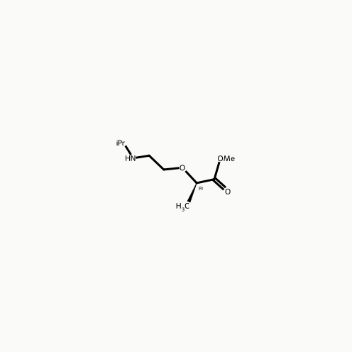 COC(=O)[C@@H](C)OCCNC(C)C